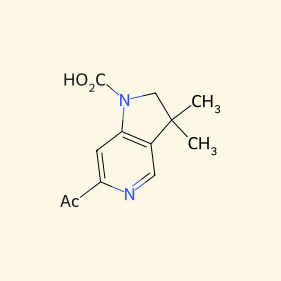 CC(=O)c1cc2c(cn1)C(C)(C)CN2C(=O)O